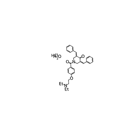 CCN(CC)CCOc1ccc(C(=O)N2C/C(=C/c3ccccc3)C(=O)/C(=C/c3ccccc3)C2)cc1.Cl.O